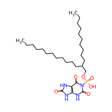 CCCCCCCCCCCCC(CCCCCCCCCC)COP(=O)(O)n1c(=O)[nH]c2[nH]c(=O)[nH]c2c1=O